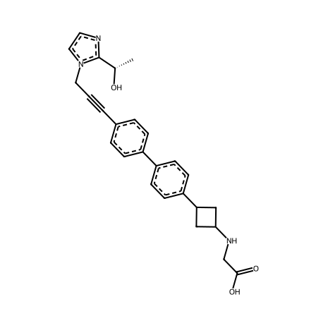 C[C@H](O)c1nccn1CC#Cc1ccc(-c2ccc(C3CC(NCC(=O)O)C3)cc2)cc1